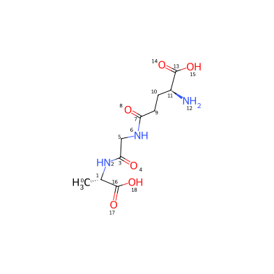 C[C@H](NC(=O)CNC(=O)CC[C@H](N)C(=O)O)C(=O)O